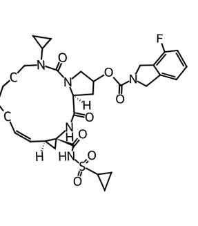 O=C1N[C@]2(C(=O)NS(=O)(=O)C3CC3)C[C@H]2/C=C\CCCCCN(C2CC2)C(=O)N2CC(OC(=O)N3Cc4cccc(F)c4C3)C[C@@H]12